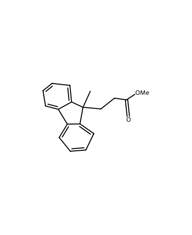 COC(=O)CCC1(C)c2ccccc2-c2ccccc21